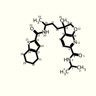 CC(C)NC(=O)c1ccc2c(n1)OCC2(C)CCC(C)NC(=O)c1cc2c(s1)CCCC2